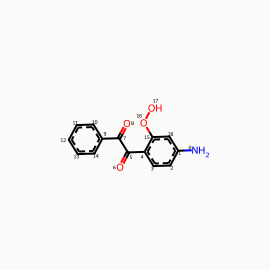 Nc1ccc(C(=O)C(=O)c2ccccc2)c(OO)c1